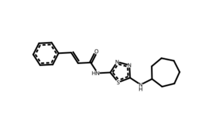 O=C(/C=C/c1ccccc1)Nc1nnc(NC2CCCCCC2)s1